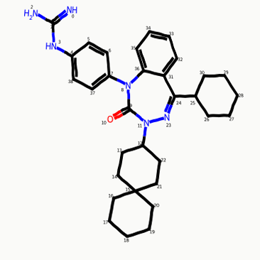 N=C(N)Nc1ccc(N2C(=O)N(C3CCC4(CCCCC4)CC3)N=C(C3CCCCC3)c3ccccc32)cc1